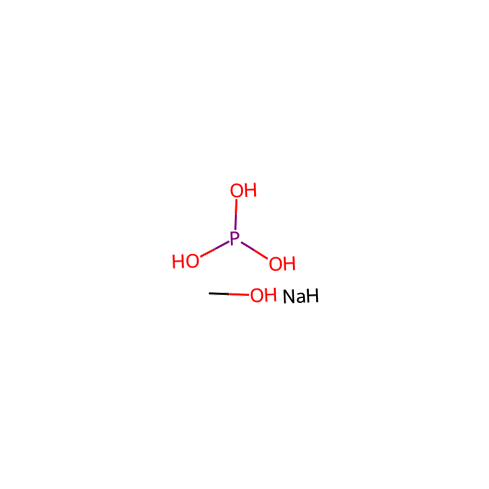 CO.OP(O)O.[NaH]